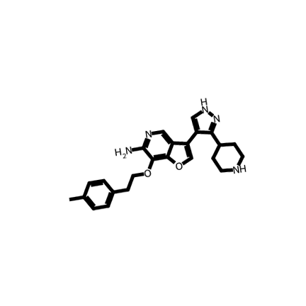 Cc1ccc(CCOc2c(N)ncc3c(-c4c[nH]nc4C4CCNCC4)coc23)cc1